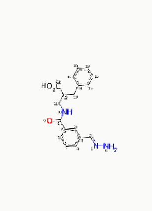 NN=Cc1cccc(C(=O)NCC(Cc2ccccc2)C(=O)O)c1